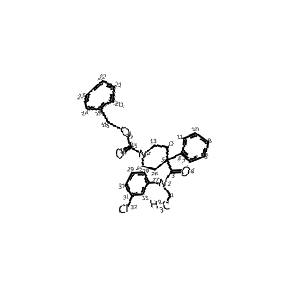 CCN(C(=O)C1(c2ccccc2)CCN(C(=O)OCc2ccccc2)CC1)c1cccc(Cl)c1